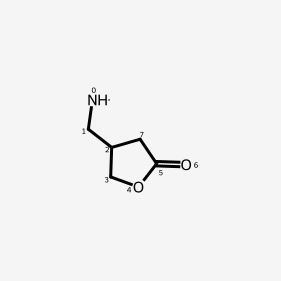 [NH]CC1COC(=O)C1